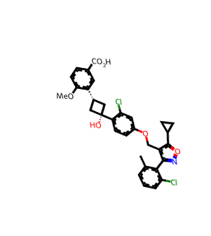 COc1ccc(C(=O)O)cc1[C@H]1C[C@](O)(c2ccc(OCc3c(-c4c(C)cccc4Cl)noc3C3CC3)cc2Cl)C1